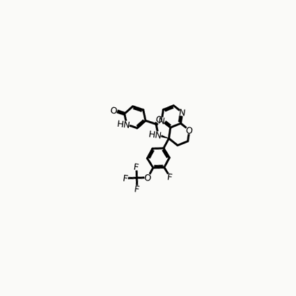 O=C(N[C@]1(c2ccc(OC(F)(F)F)c(F)c2)CCOc2nccnc21)c1ccc(=O)[nH]c1